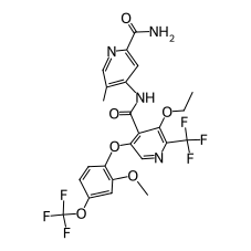 CCOc1c(C(F)(F)F)ncc(Oc2ccc(OC(F)(F)F)cc2OC)c1C(=O)Nc1cc(C(N)=O)ncc1C